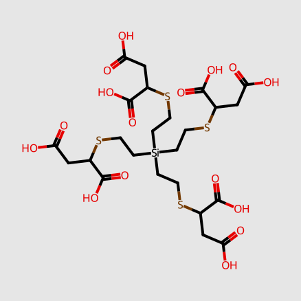 O=C(O)CC(SCC[Si](CCSC(CC(=O)O)C(=O)O)(CCSC(CC(=O)O)C(=O)O)CCSC(CC(=O)O)C(=O)O)C(=O)O